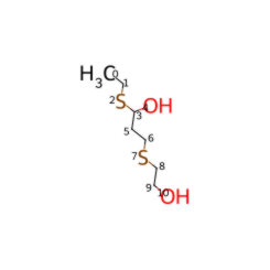 CCSC(O)CCSCCO